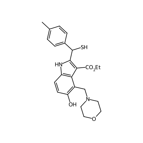 CCOC(=O)c1c(C(S)c2ccc(C)cc2)[nH]c2ccc(O)c(CN3CCOCC3)c12